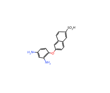 Nc1ccc(Oc2ccc3cc(S(=O)(=O)O)ccc3c2)c(N)c1